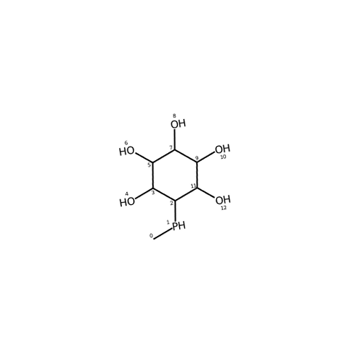 CPC1C(O)C(O)C(O)C(O)C1O